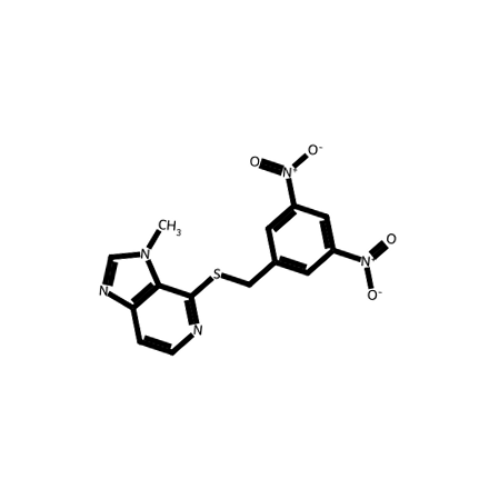 Cn1cnc2ccnc(SCc3cc([N+](=O)[O-])cc([N+](=O)[O-])c3)c21